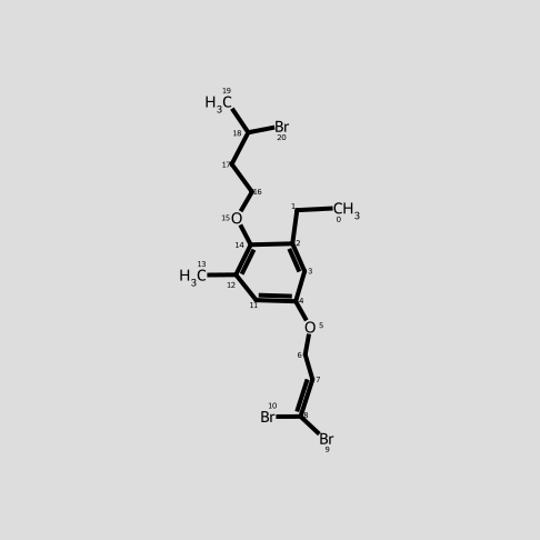 CCc1cc(OCC=C(Br)Br)cc(C)c1OCCC(C)Br